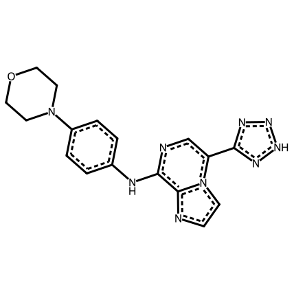 c1cn2c(-c3nn[nH]n3)cnc(Nc3ccc(N4CCOCC4)cc3)c2n1